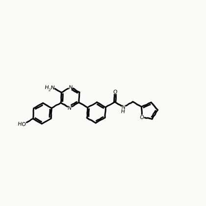 Nc1ncc(-c2cccc(C(=O)NCc3ccco3)c2)nc1-c1ccc(O)cc1